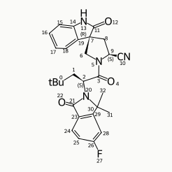 CC(C)(C)C[C@@H](C(=O)N1C[C@]2(C[C@H]1C#N)C(=O)Nc1ccccc12)N1C(=O)c2ccc(F)cc2C1(C)C